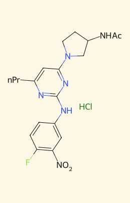 CCCc1cc(N2CCC(NC(C)=O)C2)nc(Nc2ccc(F)c([N+](=O)[O-])c2)n1.Cl